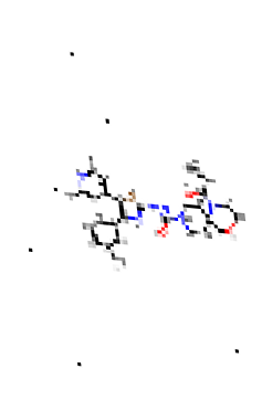 Cc1cc(-c2sc(NC(=O)N3CCC4(CC3)COCCN4C(=O)CC(C)(C)C)nc2-c2cccc(C#N)c2)cc(C)n1